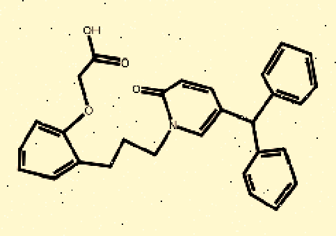 O=C(O)COc1ccccc1CCCn1cc(C(c2ccccc2)c2ccccc2)ccc1=O